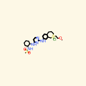 COCCS1(Cl)CCCc2ccc(Nc3nccc(N[C@@H]4CCCC[C@H]4NS(C)(=O)=O)n3)cc2C1